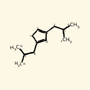 CC(C)CC1=[C]CC(CC(C)C)=C1